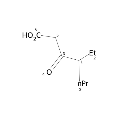 CCCC(CC)C(=O)CC(=O)O